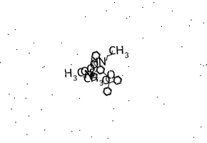 CCCCNc1cc(C(=O)OC(c2ccccc2)c2ccccc2)cc(S(=O)(=O)N(C)OC)c1Oc1ccccc1